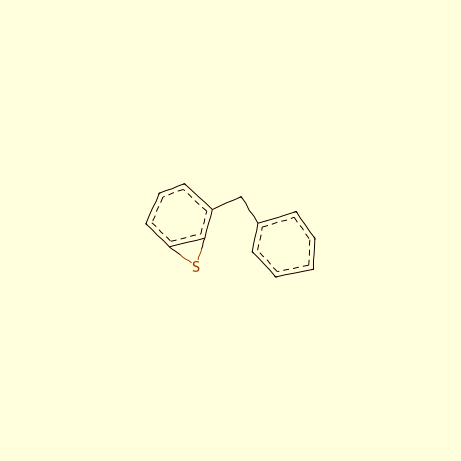 c1ccc(Cc2cccc3c2S3)cc1